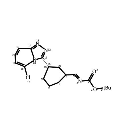 CC(C)(C)OC(=O)N=CC1CCC[C@H](c2nnc3cccc(Cl)n23)C1